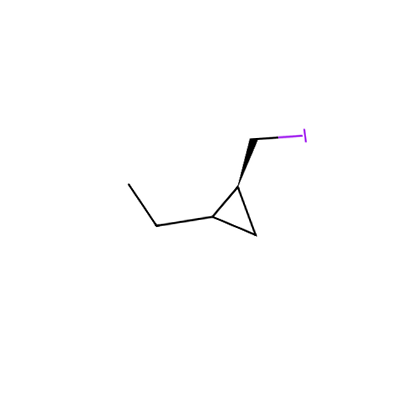 CCC1C[C@@H]1CI